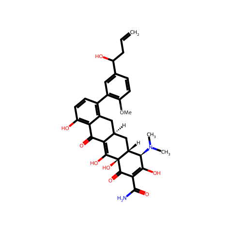 C=CCC(O)c1ccc(OC)c(-c2ccc(O)c3c2C[C@H]2C[C@@H]4[C@@H](N(C)C)C(O)=C(C(N)=O)C(=O)[C@]4(O)C(O)=C2C3=O)c1